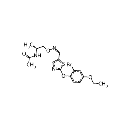 CCOc1ccc(Oc2ncc(/C=N\OC[C@H](C)NC(C)=O)s2)c(Br)c1